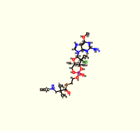 CCOC(=O)NCC(C)(C)C(=O)SCCOP1(=O)OC[C@H]2O[C@@H](n3cnc4c(OCC)nc(N)nc43)[C@](C)(Cl)[C@@H]2O1